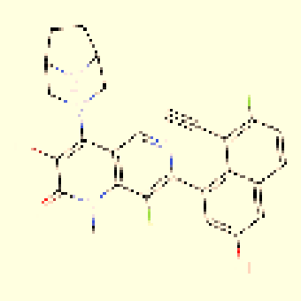 C#Cc1c(F)ccc2cc(O)cc(-c3ncc4c(N5CC6CCC(C5)N6)c(Br)c(=O)n(C)c4c3F)c12